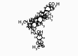 C=C[C@@H]1CC[C@]2(NCCC3(O)CCC(OS(C)(=O)=O)CC3)CC[C@]3(C)[C@H](CC[C@@H]4[C@@]5(C)CC=C(C6=CC[C@](CF)(C(=O)O)CC6)C(C)(C)[C@@H]5CC[C@]43C)[C@@H]12